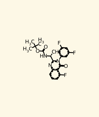 C[C@H](NC(=O)OC(C)(C)C)c1nc2cccc(F)c2c(=O)n1-c1cc(F)cc(F)c1